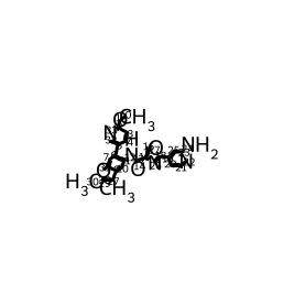 COc1ccc(-c2cc3c(cc2NC(=O)c2coc(-c4ccnc(N)c4)n2)CC(C)(C)O3)cn1